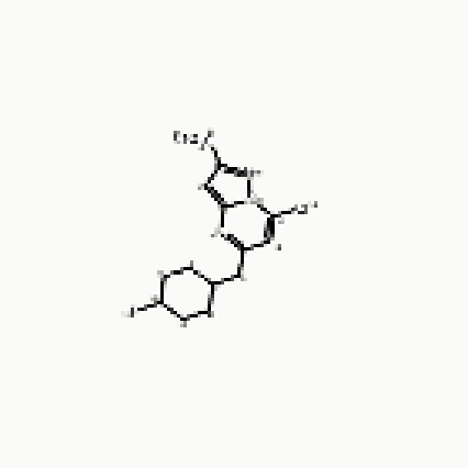 CCOC(=O)c1cc2nc(CC3CCC(F)CC3)cc(Cl)n2n1